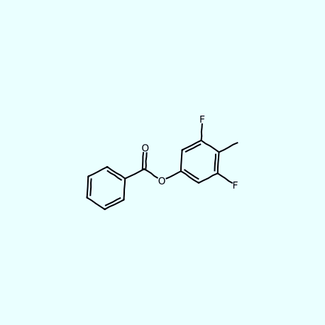 Cc1c(F)cc(OC(=O)c2ccccc2)cc1F